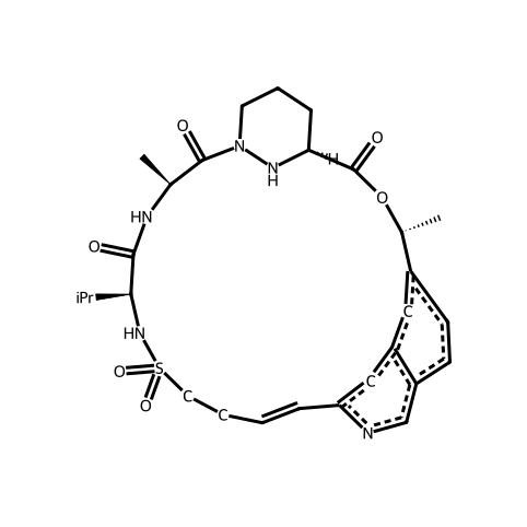 CC(C)[C@@H]1NS(=O)(=O)CC/C=C/c2cc3cc(ccc3cn2)[C@@H](C)OC(=O)[C@@H]2CCCN(N2)C(=O)[C@H](C)NC1=O